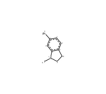 CC(C)c1ccc2c(c1)N(I)CC2